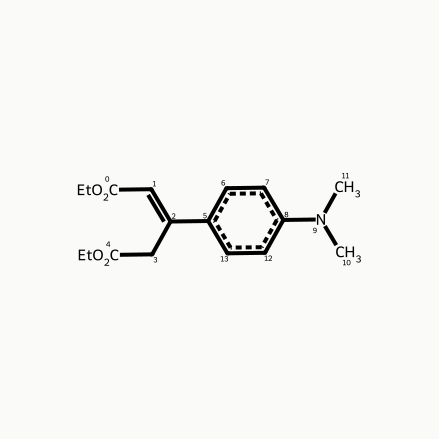 CCOC(=O)C=C(CC(=O)OCC)c1ccc(N(C)C)cc1